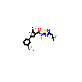 CC(F)(F)Cc1nsc(NC(=O)c2cc(-c3cccc(C(F)(F)F)c3)oc2C(F)(F)F)n1